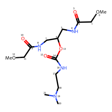 COCC(=O)NCC(CNC(=O)COC)OC(=O)NCCN(C)C